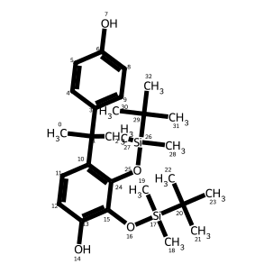 CC(C)(c1ccc(O)cc1)c1ccc(O)c(O[Si](C)(C)C(C)(C)C)c1O[Si](C)(C)C(C)(C)C